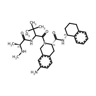 CN[C@@H](C)C(=O)NC(C(=O)N1Cc2cc(N)ccc2C[C@H]1C(=O)N[C@@H]1CCCc2ccccc21)C(C)(C)C